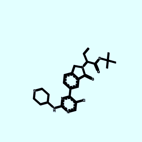 CCC(C(=O)OC(C)(C)C)N1Cc2ccc(-c3nc(NC4CCOCC4)ncc3Cl)cc2C1=O